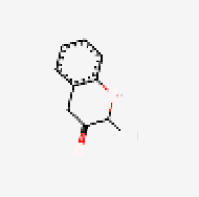 O=CC1Oc2ccccc2CC1=O